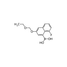 CCOCOc1cc(B(O)O)c2c(F)cccc2c1